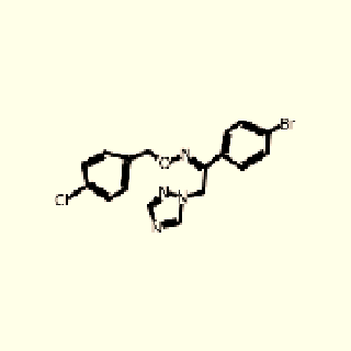 Clc1ccc(CON=C(Cn2cncn2)c2ccc(Br)cc2)cc1